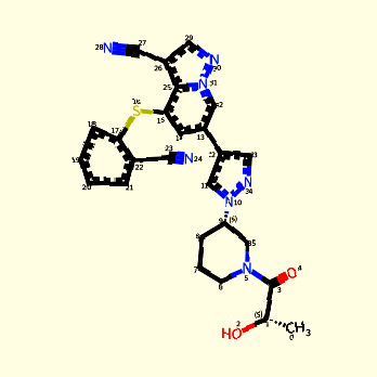 C[C@H](O)C(=O)N1CCC[C@H](n2cc(-c3cc(Sc4ccccc4C#N)c4c(C#N)cnn4c3)cn2)C1